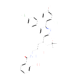 CC1(C)CC(CC(O)CNC(=O)c2ccccc2O)c2cc(-c3ccc(Cl)cc3)c(-c3ccc(Br)cc3Cl)nc2O1